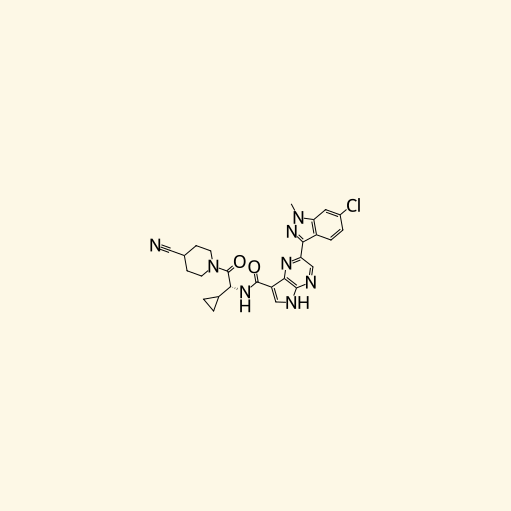 Cn1nc(-c2cnc3[nH]cc(C(=O)N[C@@H](C(=O)N4CCC(C#N)CC4)C4CC4)c3n2)c2ccc(Cl)cc21